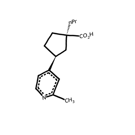 CCC[C@@]1(C(=O)O)CC[C@H](c2ccnc(C)c2)C1